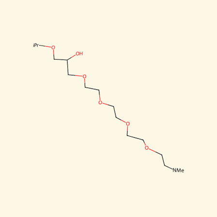 CNCCOCCOCCOCCOCC(O)COC(C)C